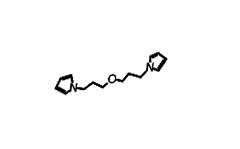 c1ccn(CCCOCCCn2cccc2)c1